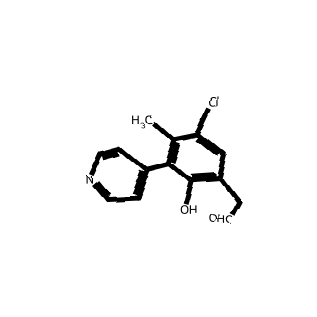 Cc1c(Cl)cc(CC=O)c(O)c1-c1ccncc1